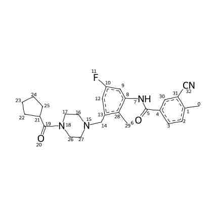 Cc1ccc(C(=O)Nc2cc(F)cc(CN3CCN(C(=O)C4CCCC4)CC3)c2C)cc1C#N